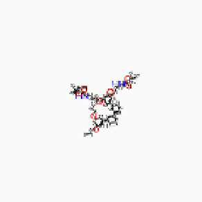 CCCOc1cc(OCCC)cc(-c2cccc(-c3cccc(-c4cc(OCCCNC(=O)OC(C)(C)C)cc(OCCCNC(=O)OC(C)(C)C)c4)c3)c2)c1